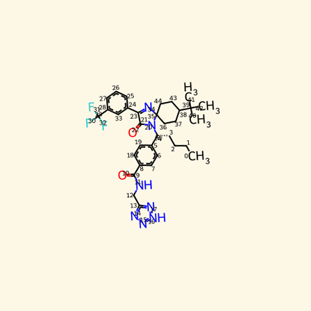 CCCC[C@H](c1ccc(C(=O)NCc2nn[nH]n2)cc1)N1C(=O)C(c2cccc(C(F)(F)F)c2)=NC12CCC(C(C)(C)C)CC2